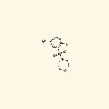 Nc1ccc(F)c(S(=O)(=O)N2CCOCC2)c1